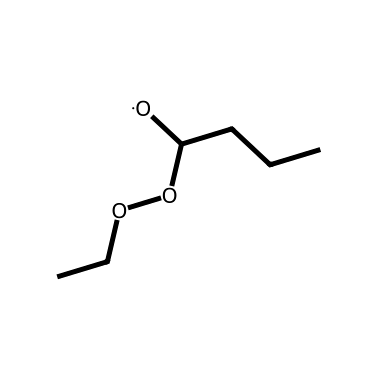 CCCC([O])OOCC